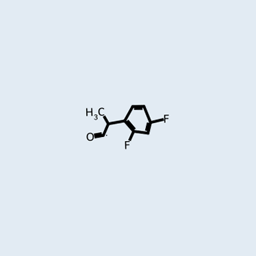 CC([C]=O)c1ccc(F)cc1F